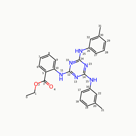 CCOC(=O)c1ccccc1Nc1nc(Nc2cccc(C)c2)nc(Nc2cccc(C)c2)n1